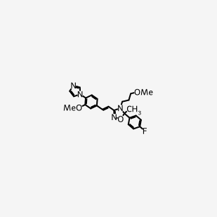 COCCCN1C(/C=C/c2ccc(-n3ccnc3)c(OC)c2)=NOC1(C)c1ccc(F)cc1